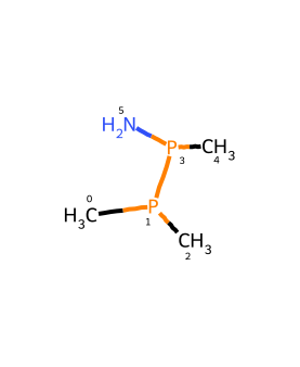 CP(C)P(C)N